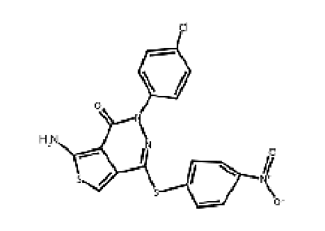 Nc1scc2c(Sc3ccc([N+](=O)[O-])cc3)nn(-c3ccc(Cl)cc3)c(=O)c12